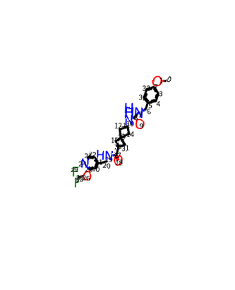 COc1ccc(CNC(=O)NC2CC3(C2)CC(C(=O)NCc2ccnc(OC(F)F)c2)C3)cc1